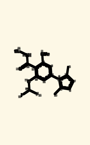 COc1cc(-n2c(C)ccc2C)cc(OC(F)F)c1C(=O)NC(C)(C)C